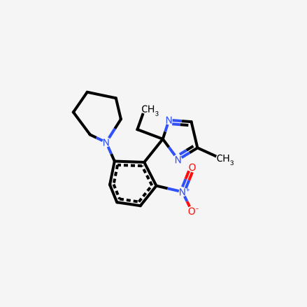 CCC1(c2c(N3CCCCC3)cccc2[N+](=O)[O-])N=CC(C)=N1